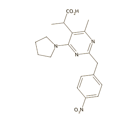 Cc1nc(Cc2ccc([N+](=O)[O-])cc2)nc(N2CCCC2)c1C(C)C(=O)O